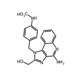 Nc1nc2ccccc2c2c1nc(CO)n2Cc1ccc(NC(=O)O)cc1